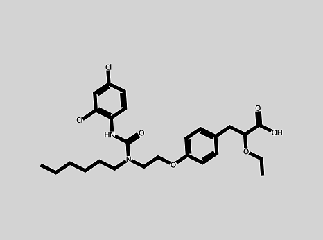 CCCCCCN(CCOc1ccc(CC(OCC)C(=O)O)cc1)C(=O)Nc1ccc(Cl)cc1Cl